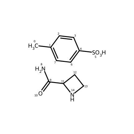 Cc1ccc(S(=O)(=O)O)cc1.NC(=O)C1CCN1